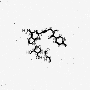 CCNC(=O)[C@H]1O[C@@H](n2cnc3c(N)nc(C#CCN(C)C(=O)c4ccc(F)nc4)nc32)[C@H](O)C1O